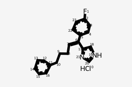 Cl.Fc1ccc(C(=CCCCc2ccccc2)c2c[nH]cn2)cc1